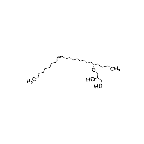 CCCCCCCC/C=C\CCCCCCCCC(CCCC)OCC(O)CO